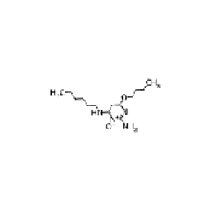 CCCCCCNc1cc(OCCCC)nc(N)[n+]1[O-]